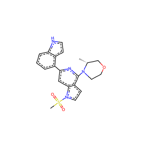 C[C@@H]1COCCN1c1nc(-c2cccc3[nH]ccc23)cc2c1ccn2S(C)(=O)=O